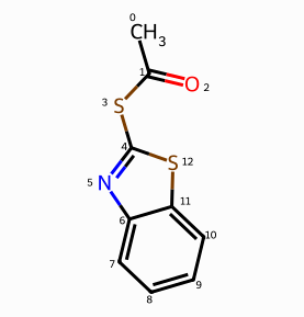 CC(=O)Sc1nc2ccccc2s1